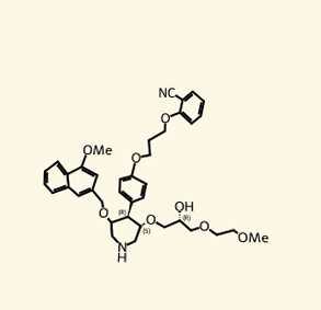 COCCOC[C@@H](O)CO[C@@H]1CNCC(OCc2cc(OC)c3ccccc3c2)[C@H]1c1ccc(OCCCOc2ccccc2C#N)cc1